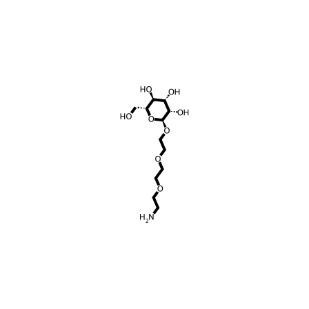 NCCOCCOCCO[C@H]1O[C@H](CO)[C@@H](O)[C@H](O)[C@@H]1O